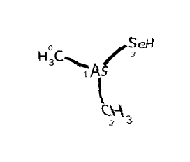 C[As](C)[SeH]